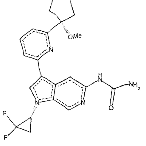 CO[C@@]1(c2cccc(-c3cn([C@@H]4CC4(F)F)c4cnc(NC(N)=O)cc34)n2)CCOC1